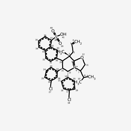 C=CC[C@]1(C)C2=[N+](C(C(C)C)CO2)[C@H](c2ccc(Cl)cc2)[C@@H](c2cccc(Cl)c2)C1c1ccc2cccc(S(=O)(=O)O)c2c1